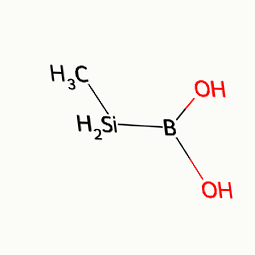 C[SiH2]B(O)O